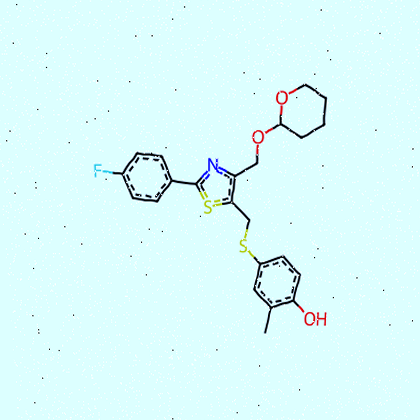 Cc1cc(SCc2sc(-c3ccc(F)cc3)nc2COC2CCCCO2)ccc1O